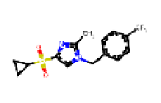 Cc1nc(S(=O)(=O)C2CC2)cn1[CH]c1ccc(C(F)(F)F)cc1